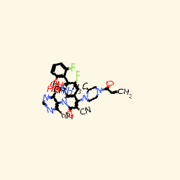 C=CC(=O)N1CCN(c2c(/C=C(/F)C(=C)c3c(O)cccc3F)c(NO)n(-c3c(C)ncnc3CCC)c(=O)c2C#N)[C@@H](C)C1